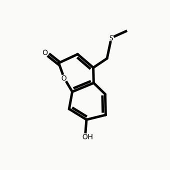 CSCc1cc(=O)oc2cc(O)ccc12